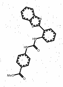 COC(=O)c1ccc(NC(=O)Nc2ccccc2-c2nc3ccccc3s2)cc1